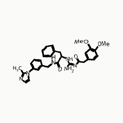 COc1ccc(CC(=O)N=C(N)NC(Cc2ccccc2)C(=O)NCc2cccc(-n3ccnc3C)c2)cc1OC